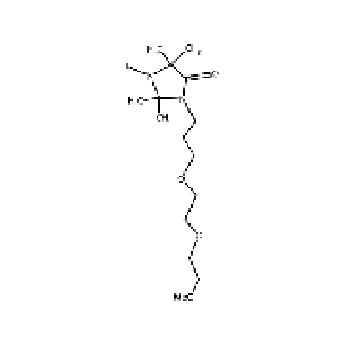 COCCOCCOCCCN1C(=O)C(C)(C)N(I)C1(C)C